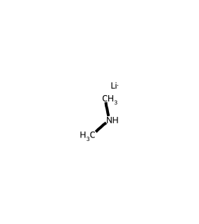 CNC.[Li]